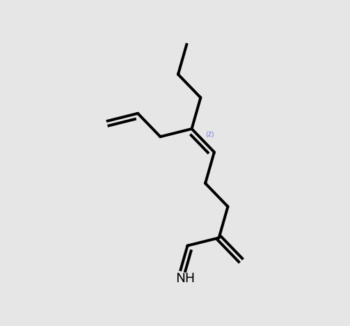 C=CC/C(=C\CCC(=C)C=N)CCC